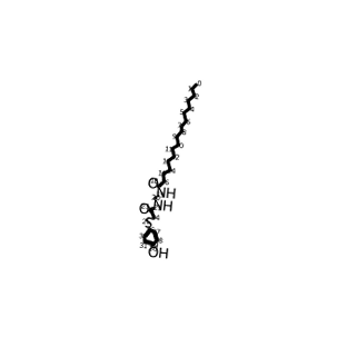 CCCCCCCCCCCCCCCCCC(=O)NCNC(=O)CSc1ccc(O)cc1